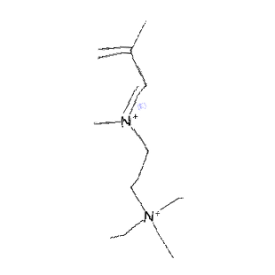 C=C(C)/C=[N+](\C)CC[N+](C)(C)C